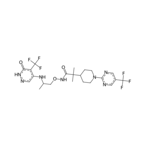 CC(CONC(=O)C(C)(C)C1CCN(c2ncc(C(F)(F)F)cn2)CC1)Nc1cn[nH]c(=O)c1C(F)(F)F